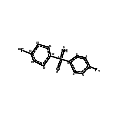 N=S(=O)(c1ccc(F)cc1)c1ccc(F)cc1